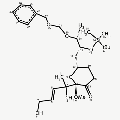 CO[C@@]1(C(C)(C)/C=C/CO)O[C@H](C[C@@H](O[Si](C)(C)C(C)(C)C)[C@@H](C)OCOCc2ccccc2)CCC1=O